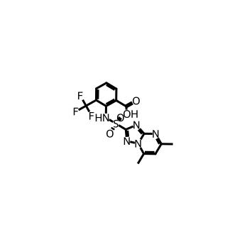 Cc1cc(C)n2nc(S(=O)(=O)Nc3c(C(=O)O)cccc3C(F)(F)F)nc2n1